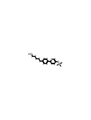 C[Si](C)(C)Oc1ccc(-c2ccc(CCCCCO)cc2)nc1